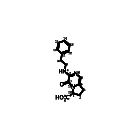 O=C(O)[C@@H]1CCc2cnc(NCCc3ccccc3)c(=O)n21